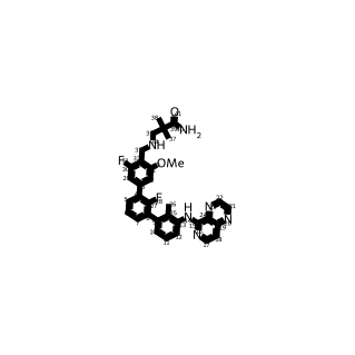 COc1cc(-c2cccc(-c3cccc(Nc4nccc5nccnc45)c3C)c2F)cc(F)c1CNCC(C)(C)C(N)=O